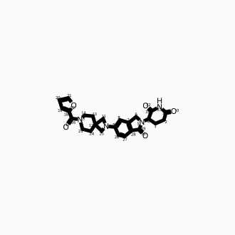 O=C1CCC(N2Cc3cc(N4CC5(CCN(C(=O)c6ccco6)CC5)C4)ccc3C2=O)C(=O)N1